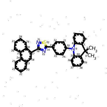 CC1(C)c2ccccc2N(c2ccc(-c3nc(-c4cc5ccccc5c5ccccc45)ns3)cc2)c2ccccc21